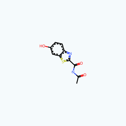 CC(=O)[N]C(=O)c1nc2ccc(O)cc2s1